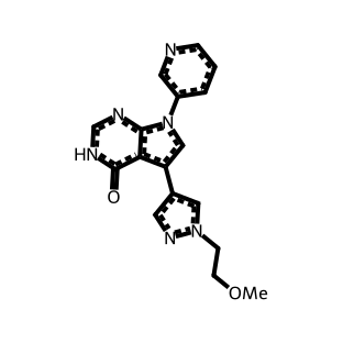 COCCn1cc(-c2cn(-c3cccnc3)c3nc[nH]c(=O)c23)cn1